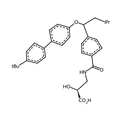 CC(C)CC(Oc1ccc(-c2ccc(C(C)(C)C)cc2)cc1)c1ccc(C(=O)NC[C@H](O)C(=O)O)cc1